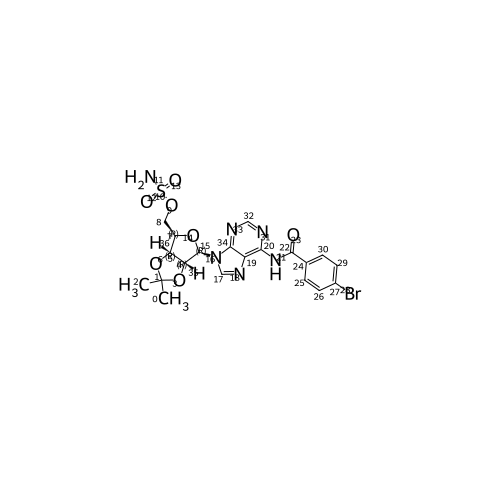 CC1(C)O[C@@H]2[C@H](O1)[C@@H](COS(N)(=O)=O)O[C@H]2n1cnc2c(NC(=O)c3ccc(Br)cc3)ncnc21